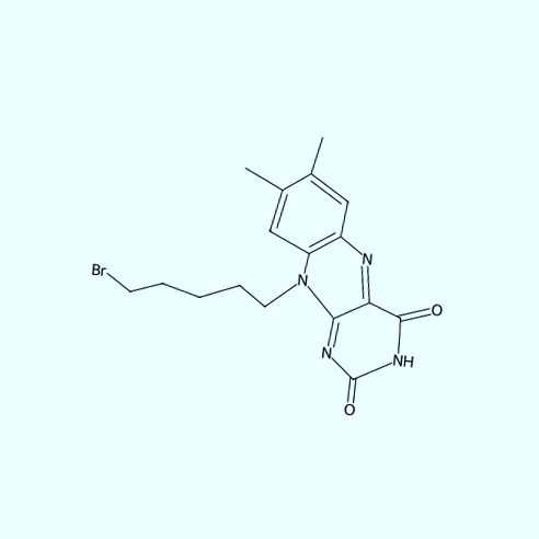 Cc1cc2nc3c(=O)[nH]c(=O)nc-3n(CCCCCBr)c2cc1C